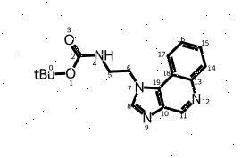 CC(C)(C)OC(=O)NCCn1cnc2cnc3ccccc3c21